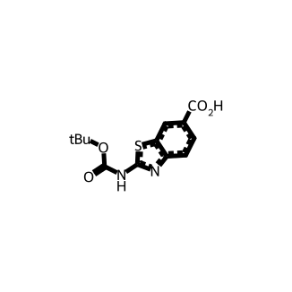 CC(C)(C)OC(=O)Nc1nc2ccc(C(=O)O)cc2s1